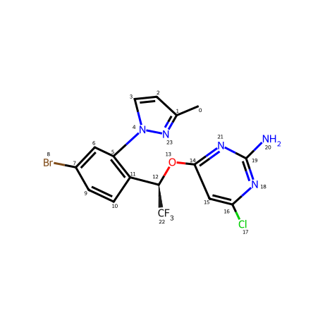 Cc1ccn(-c2cc(Br)ccc2[C@@H](Oc2cc(Cl)nc(N)n2)C(F)(F)F)n1